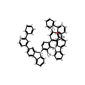 N#Cc1cc(-c2ccc(-n3c4ccccc4c4ccc(-c5ccnc(-c6ccccc6)c5)cc43)c(C#N)c2-n2c3ccccc3c3ccc(-c4ccnc(-c5ccccc5)c4)cc32)cc(C(F)(F)F)c1